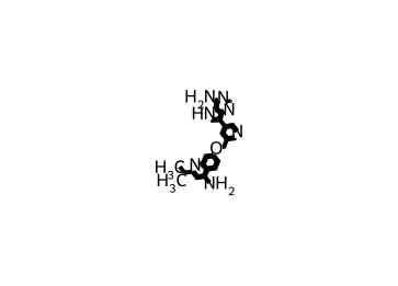 CC(C)c1cc(N)c2ccc(OCc3cncc(-c4c[nH]c5c(N)ncnc45)c3)cc2n1